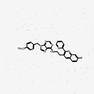 COc1ccc(Cn2cnc3c(NCCc4cc5ccc(F)cc5nc4-c4ccccn4)ncnc32)cc1